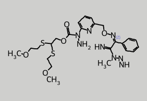 COCCSC(COC(=O)N(N)c1cccc(CO/N=C(\C(=N)N(C)N=N)c2ccccc2)n1)SCCOC